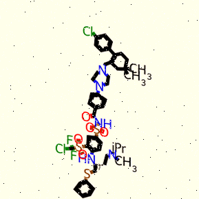 CC(C)N(C)CC[C@H](CSc1ccccc1)Nc1ccc(S(=O)(=O)NC(=O)c2ccc(N3CCN(CC4=C(c5ccc(Cl)cc5)CCC(C)(C)C4)CC3)cc2)cc1S(=O)(=O)C(F)(F)Cl